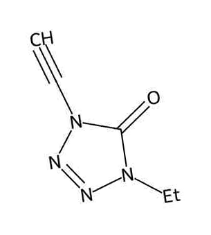 C#Cn1nnn(CC)c1=O